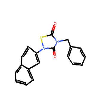 O=c1sn(-c2ccc3ccccc3c2)c(=O)n1Cc1ccccc1